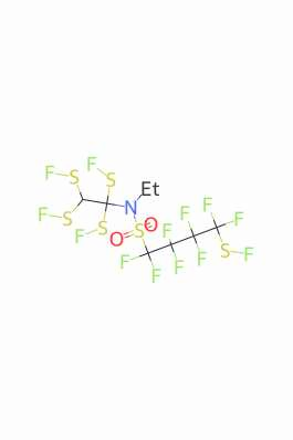 CCN(C(SF)(SF)C(SF)SF)S(=O)(=O)C(F)(F)C(F)(F)C(F)(F)C(F)(F)SF